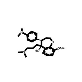 COc1cccc2c1OCC[C@H](c1ccc(N(C)C)cc1)[C@@]2(O)CCCN(C)C